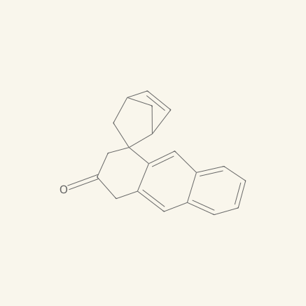 O=C1Cc2cc3ccccc3cc2C2(C1)CC1C=CC2C1